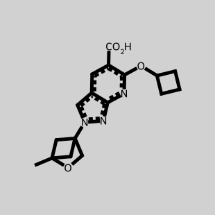 CC12CC(n3cc4cc(C(=O)O)c(OC5CCC5)nc4n3)(CO1)C2